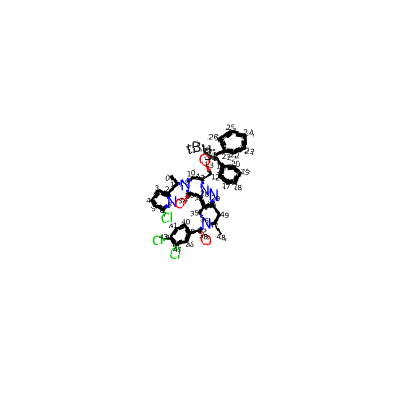 CC(c1cccc(Cl)n1)N1C[C@@H](CO[Si](c2ccccc2)(c2ccccc2)C(C)(C)C)n2nc3c(c2C1=O)CN(C(=O)c1ccc(Cl)c(Cl)c1)[C@H](C)C3